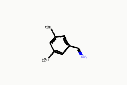 CC(C)(C)c1cc(C=N)cc(C(C)(C)C)c1